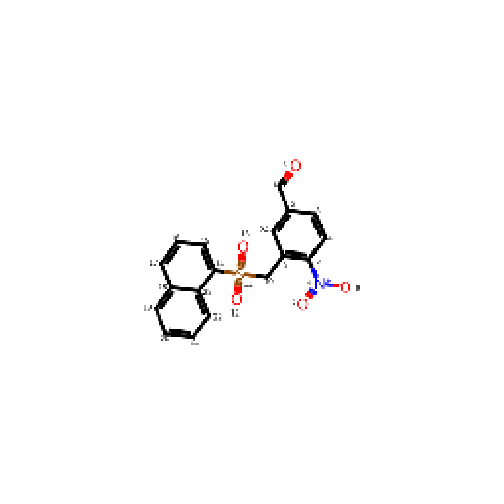 O=Cc1ccc([N+](=O)[O-])c(CS(=O)(=O)c2cccc3ccccc23)c1